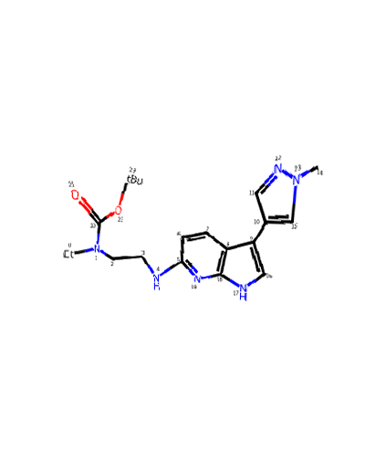 CCN(CCNc1ccc2c(-c3cnn(C)c3)c[nH]c2n1)C(=O)OC(C)(C)C